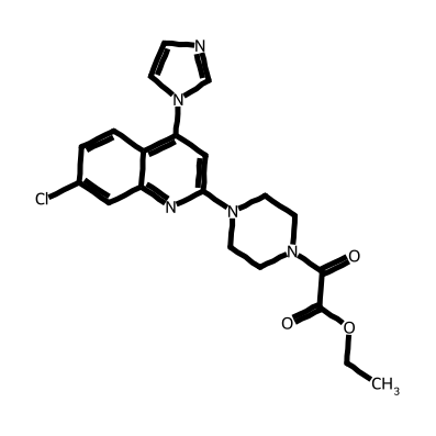 CCOC(=O)C(=O)N1CCN(c2cc(-n3ccnc3)c3ccc(Cl)cc3n2)CC1